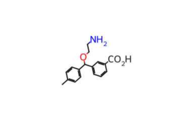 Cc1ccc(C(OCCN)c2cccc(C(=O)O)c2)cc1